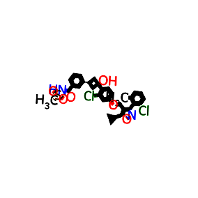 Cc1cccc(Cl)c1-c1noc(C2CC2)c1COc1ccc([C@]2(O)C[C@H](c3cccc(C(=O)NS(C)(=O)=O)c3)C2)c(Cl)c1